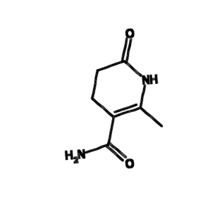 CC1=C(C(N)=O)CCC(=O)N1